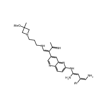 COC1(C)CN(CCCN/C=C(\C(C)=N)c2cnc3ccc(N/C(N)=C/C(=C\N)C(C)C)nc3c2)C1